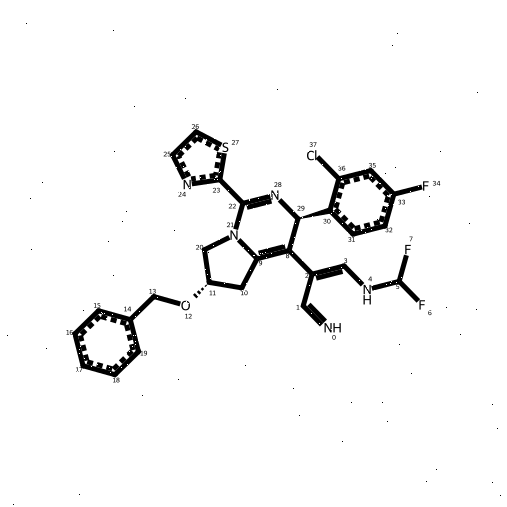 N=C/C(=C\NC(F)F)C1=C2C[C@H](OCc3ccccc3)CN2C(c2nccs2)=N[C@H]1c1ccc(F)cc1Cl